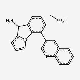 CC(=O)O.NC1c2cccc(-c3cnc4ccccc4c3)c2-n2cccc21